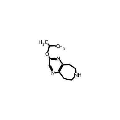 CC(C)Oc1cnc2c(n1)CCNCC2